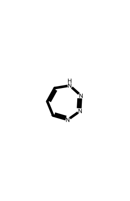 [C]1=NN=NNC=C1